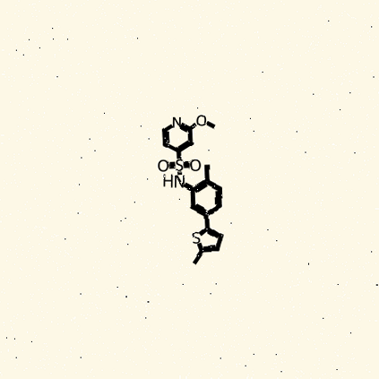 COc1cc(S(=O)(=O)Nc2cc(-c3ccc(C)s3)ccc2C)ccn1